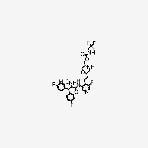 CN[C@H](C(=O)Nc1cncc(F)c1CC[C@@H]1CN[C@H](COC(=O)NCC(F)(F)F)CO1)C(c1ccc(F)cc1)c1ccc(F)cc1